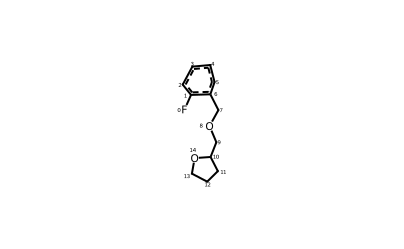 Fc1ccccc1COCC1CCCO1